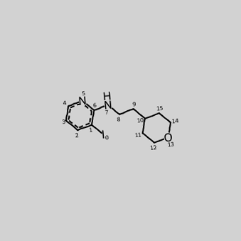 Ic1cccnc1NCCC1CCOCC1